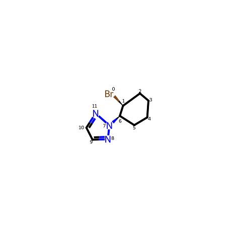 Br[C@H]1CCCC[C@H]1n1nccn1